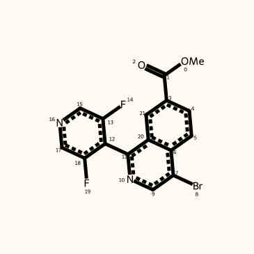 COC(=O)c1ccc2c(Br)cnc(-c3c(F)cncc3F)c2c1